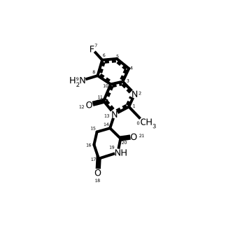 Cc1nc2ccc(F)c(N)c2c(=O)n1C1CCC(=O)NC1=O